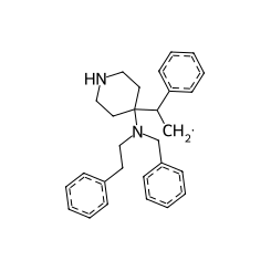 [CH2]C(c1ccccc1)C1(N(CCc2ccccc2)Cc2ccccc2)CCNCC1